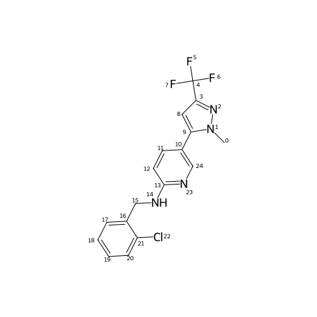 Cn1nc(C(F)(F)F)cc1-c1ccc(NCc2ccccc2Cl)nc1